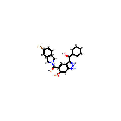 O=C(c1n[nH]c2cc(O)c(C(=O)N3Cc4ccc(Br)cc4C3)cc12)C1CCCCC1